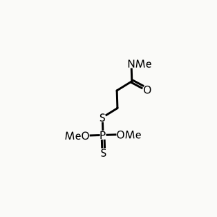 CNC(=O)CCSP(=S)(OC)OC